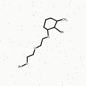 CC(C)OCCOCCOC1CCCC(C)C1C(C)C